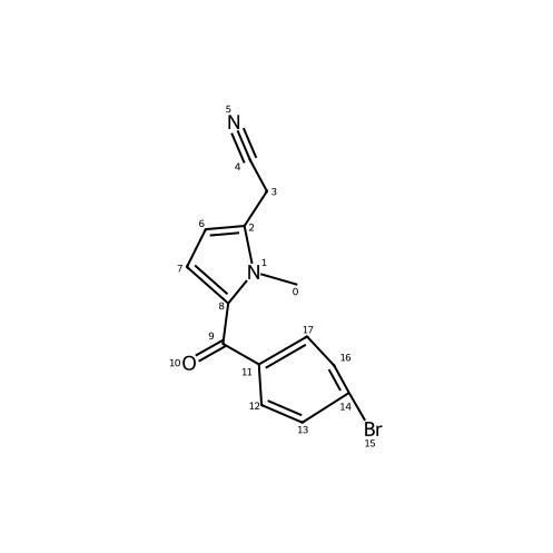 Cn1c(CC#N)ccc1C(=O)c1ccc(Br)cc1